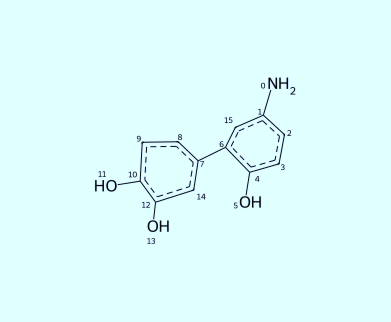 Nc1ccc(O)c(-c2ccc(O)c(O)c2)c1